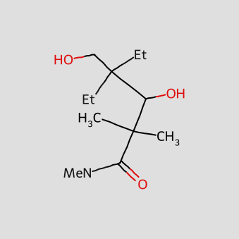 CCC(CC)(CO)C(O)C(C)(C)C(=O)NC